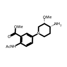 COC(=O)c1cc(N2CC[C@@H](N)[C@@H](OC)C2)ccc1NC(C)=O